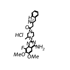 COc1cc2c(N)nc(N3CCN(C(=O)CC(N)Cc4ccccc4)CC3C)nc2c(F)c1OC.Cl